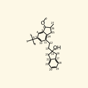 COC1c2cc(C(C)(C)C)cc(CCC3(O)Cc4ccccc4C3)c2CC1C